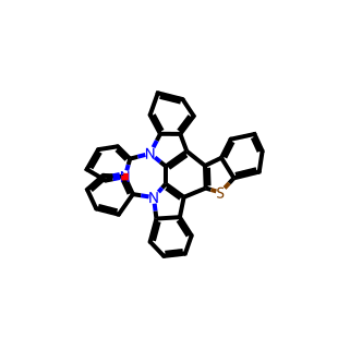 c1ccc(-n2c3ccccc3c3c4sc5ccccc5c4c4c5ccccc5n(-c5ccccn5)c4c32)cc1